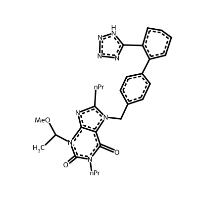 CCCc1nc2c(c(=O)n(CCC)c(=O)n2C(C)OC)n1Cc1ccc(-c2ccccc2-c2nnn[nH]2)cc1